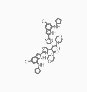 O=C(C(C(C(=O)N1CCOCC1)[C@@H]1CSC(c2cc3cc(Cl)cc(NC4CCCC4)c3[nH]2)=N1)[C@@H]1CSC(c2cc3cc(Cl)cc(NC4CCCC4)c3[nH]2)=N1)N1CCOCC1